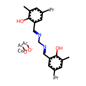 CC(=O)[O-].CC(=O)[O-].Cc1cc(C(C)C)cc(C=NCN=Cc2cc(C(C)C)cc(C)c2O)c1O.[Co+2]